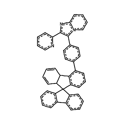 C1=CC2c3c(-c4ccc(-c5c(-c6ccccn6)nc6ccccn56)cc4)cccc3C3(c4ccccc4-c4ccccc43)C2C=C1